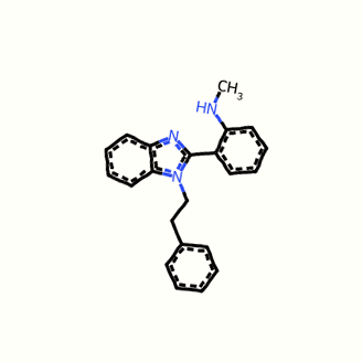 CNc1ccccc1-c1nc2ccccc2n1CCc1ccccc1